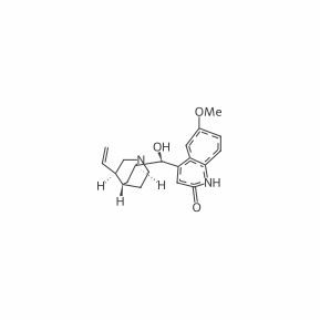 C=C[C@H]1CN2CC[C@H]1C[C@@H]2[C@@H](O)c1cc(=O)[nH]c2ccc(OC)cc12